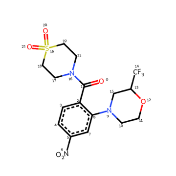 O=C(c1ccc([N+](=O)[O-])cc1N1CCOC(C(F)(F)F)C1)N1CCS(=O)(=O)CC1